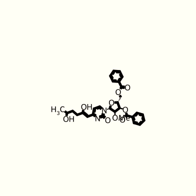 CO[C@@H]1[C@H](OC(=O)c2ccccc2)[C@@H](COC(=O)c2ccccc2)O[C@H]1n1ccc(C=C(O)CCC(C)O)nc1=O